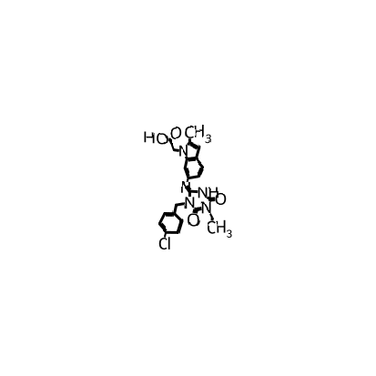 CCn1c(=O)[nH]/c(=N\c2ccc3cc(C)n(CC(=O)O)c3c2)n(CC2=CC=C(Cl)CC2)c1=O